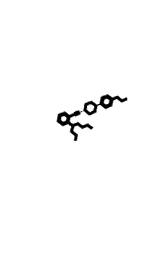 CCCCC(CCC)c1ccccc1C#C[C@H]1CC[C@H](c2ccc(CCC)cc2)CC1